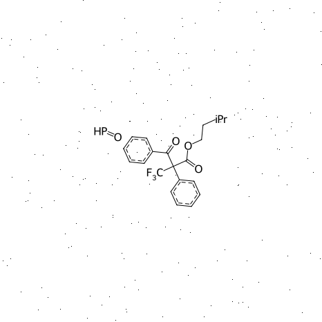 CC(C)CCOC(=O)C(C(=O)c1ccccc1)(c1ccccc1)C(F)(F)F.O=P